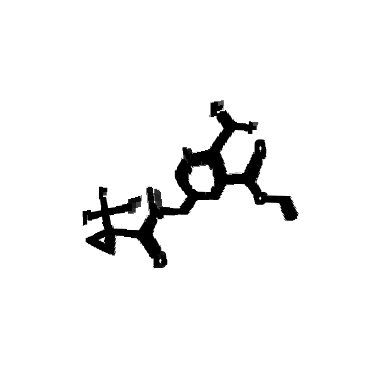 CCOC(=O)c1cc(CNC(=O)C2(C(F)(F)F)CC2)cnc1C(F)F